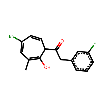 CC1=C(O)C(C(=O)Cc2cccc(F)c2)C=CC(Br)=C1